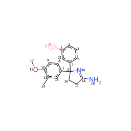 Bc1cccc(C2(c3ccc(OC)c(C)c3)CCC(N)=N2)c1